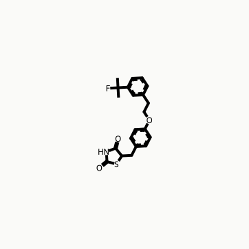 CC(C)(F)c1cccc(CCOc2ccc(CC3SC(=O)NC3=O)cc2)c1